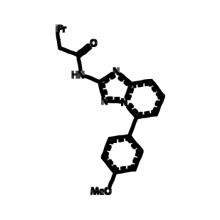 COc1ccc(-c2cccc3nc(NC(=O)CC(C)C)nn23)cc1